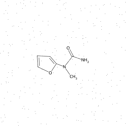 CN(C(N)=O)c1ccco1